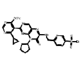 CCS(=O)(=O)c1ccc(CNc2nc3cnc(-c4c(OC)ncnc4C4CC4)nc3n(C3CCCC3)c2=O)nc1